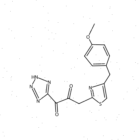 COc1ccc(Cc2csc(CC(=O)C(=O)c3nn[nH]n3)n2)cc1